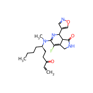 C=CC(=O)CC[C@@H](CCCC)N(C)C1=NC(c2cnoc2)C2C(=O)NCC2=C1F